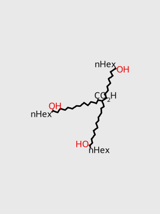 CCCCCCC(O)CCCCCCCCCCCC(CCCCCCCCC(O)CCCCCC)C(CCCCCCCCCCCC(O)CCCCCC)C(=O)O